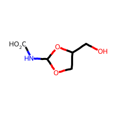 O=C(O)NC1OCC(CO)O1